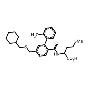 CSCCC(NC(=O)c1ccc(CSCC2CCCCC2)cc1-c1ccccc1C)C(=O)O